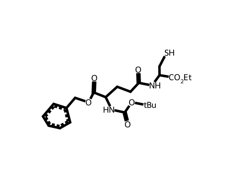 CCOC(=O)C(CS)NC(=O)CCC(NC(=O)OC(C)(C)C)C(=O)OCc1ccccc1